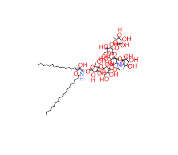 CCCCCCCCCCCCC/C=C/[C@@H](O)[C@H](CO[C@@H]1OC(CO)[C@@H](O[C@@H]2OC(CO)[C@H](O)[C@H](O[C@@H]3OC(CO)[C@@H](O[C@@H]4OC(CO)[C@H](O)[C@H](O)C4O[C@H]4OC(C)[C@@H](O)C(O)[C@@H]4O)[C@H](O[C@H]4OC(C)[C@@H](O)C(O)[C@@H]4O)C3NC(C)=O)C2O)[C@H](O)C1O)NC(=O)CCCCCCCCCCCCCCCCC